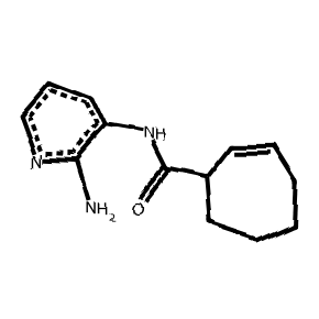 Nc1ncccc1NC(=O)C1C=CCCCC1